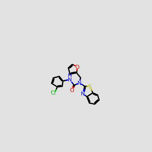 O=C(Nc1cccc(Cl)c1)N(Cc1ccco1)c1nc2ccccc2s1